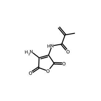 C=C(C)C(=O)NC1=C(N)C(=O)OC1=O